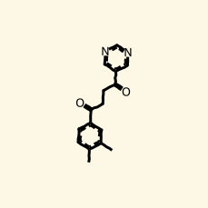 Cc1ccc(C(=O)CCC(=O)c2cncnc2)cc1C